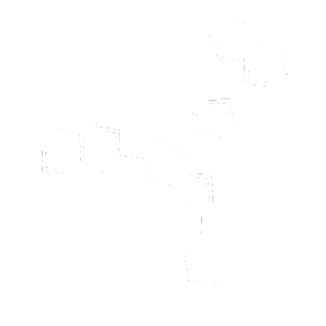 CC1C=C(c2ccc3c(-c4ccc(-c5cccc6c5N=CCC6)cc4)cc(-c4ccc5ccccc5c4)nc3c2)C=CC1